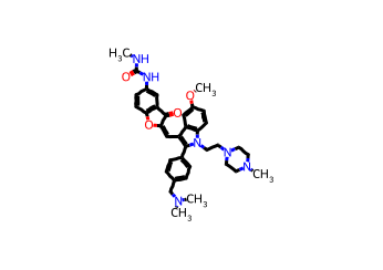 CNC(=O)Nc1ccc2c(c1)C(=O)C(=Cc1c(-c3ccc(CN(C)C)cc3)n(CCN3CCN(C)CC3)c3ccc(OC)cc13)O2